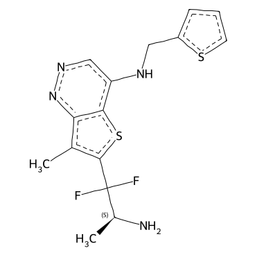 Cc1c(C(F)(F)[C@H](C)N)sc2c(NCc3cccs3)cnnc12